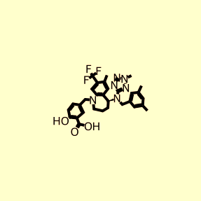 Cc1cc(C)cc(CN(c2nnn(C)n2)[C@H]2CCCN(Cc3ccc(O)c(C(=O)O)c3)c3cc(C(F)(F)F)c(C)cc32)c1